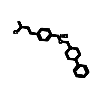 CC(Cl)CCc1ccc(COCN2CCC(c3ccccc3)CC2)cc1.Cl